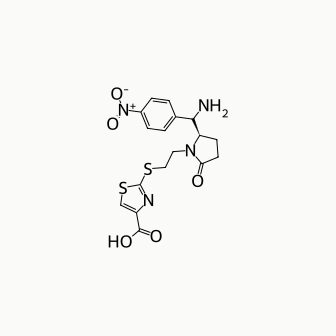 NC(c1ccc([N+](=O)[O-])cc1)[C@H]1CCC(=O)N1CCSc1nc(C(=O)O)cs1